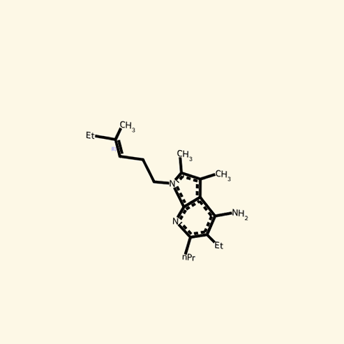 CCCc1nc2c(c(C)c(C)n2CC/C=C(\C)CC)c(N)c1CC